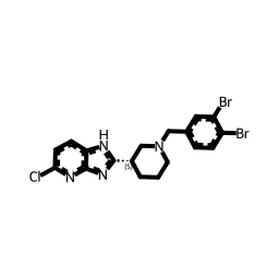 Clc1ccc2[nH]c([C@H]3CCCN(Cc4ccc(Br)c(Br)c4)C3)nc2n1